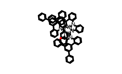 c1ccc(-c2cc(-c3ccccc3)cc(-c3ccccc3N3B4N(B5N(B6N4c4ccccc4N6c4ccccc4-c4cc(-c6ccccc6)cc(-c6ccccc6)c4)c4ccccc4N5c4ccccc4-c4cc(-c5ccccc5)cc(-c5ccccc5)c4)c4ccccc43)c2)cc1